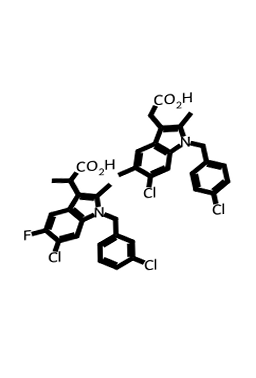 Cc1c(C(C)C(=O)O)c2cc(F)c(Cl)cc2n1Cc1cccc(Cl)c1.Cc1cc2c(CC(=O)O)c(C)n(Cc3ccc(Cl)cc3)c2cc1Cl